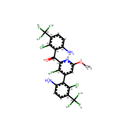 COc1cc(-c2c(N)ccc(C(F)(F)F)c2Cl)c(F)c(C(=O)c2c(N)ccc(C(F)(F)F)c2Cl)n1